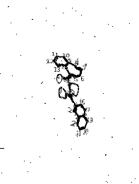 O=C(OC(=O)c1cccc2ccccc12)c1ccc2ccccc2c1